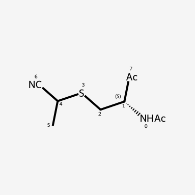 CC(=O)N[C@H](CSC(C)C#N)C(C)=O